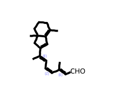 CC1=C2C=C(/C(C)=C/C=C\C(C)=C\C=O)CC2(C)CCC1